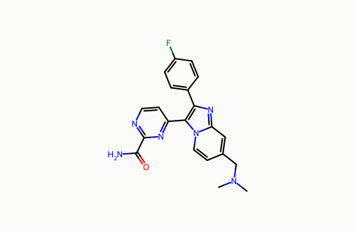 CN(C)Cc1ccn2c(-c3ccnc(C(N)=O)n3)c(-c3ccc(F)cc3)nc2c1